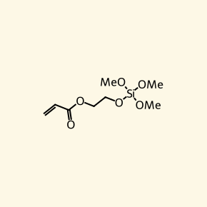 C=CC(=O)OCCO[Si](OC)(OC)OC